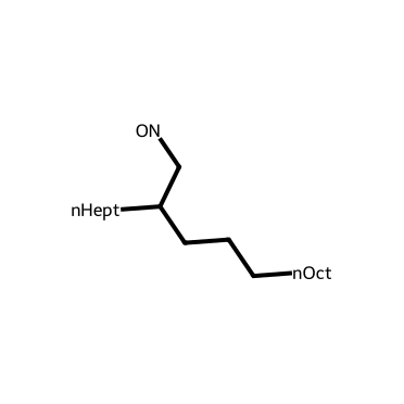 CCCCCCCCCCCC(CCCCCCC)CN=O